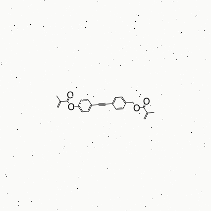 C=C(C)C(=O)OCc1ccc(C#Cc2ccc(OC(=O)C(=C)C)cc2)cc1